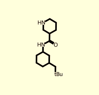 CC(C)(C)CC1CCCC(NC(=O)C2CCCNC2)C1